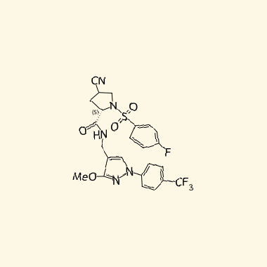 COc1nn(-c2ccc(C(F)(F)F)cc2)cc1CNC(=O)[C@@H]1CC(C#N)CN1S(=O)(=O)c1ccc(F)cc1